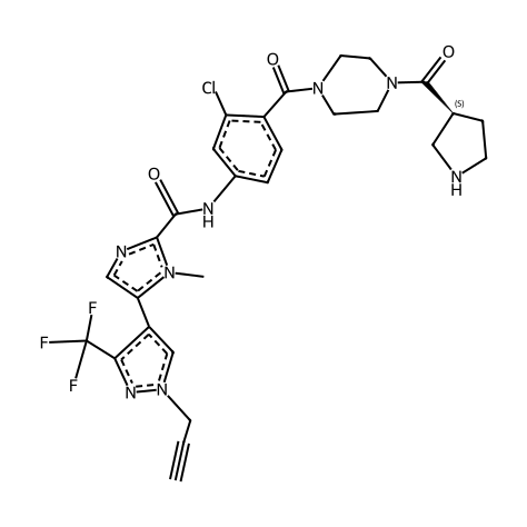 C#CCn1cc(-c2cnc(C(=O)Nc3ccc(C(=O)N4CCN(C(=O)[C@H]5CCNC5)CC4)c(Cl)c3)n2C)c(C(F)(F)F)n1